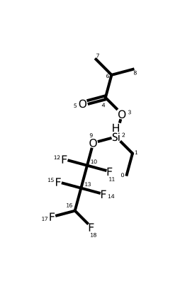 CC[SiH](OC(=O)C(C)C)OC(F)(F)C(F)(F)C(F)F